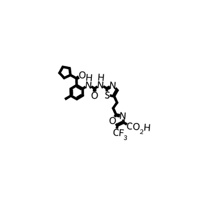 Cc1ccc(NC(=O)Nc2ncc(CCc3nc(C(=O)O)c(C(F)(F)F)o3)s2)c(C(=O)C2CCCC2)c1